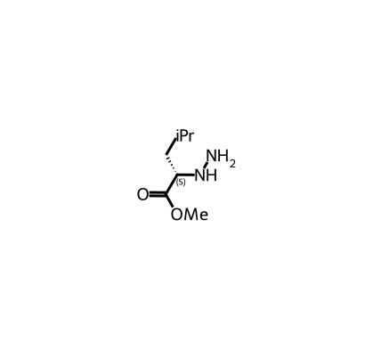 COC(=O)[C@H](CC(C)C)NN